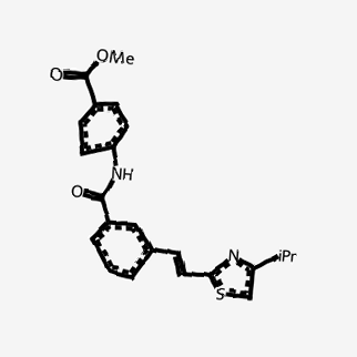 COC(=O)c1ccc(NC(=O)c2cccc(C=Cc3nc(C(C)C)cs3)c2)cc1